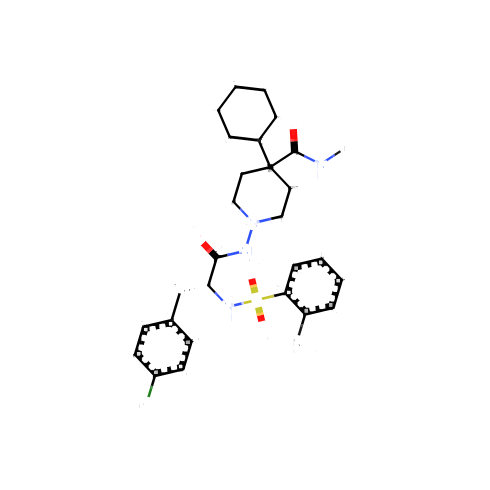 CC(C)(C)NC(=O)C1(C2CCCCC2)CCN(NC(=O)[C@@H](Cc2ccc(Cl)cc2)NS(=O)(=O)c2ccccc2[N+](=O)[O-])CC1